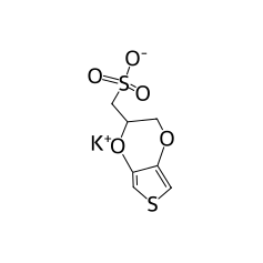 O=S(=O)([O-])CC1COc2cscc2O1.[K+]